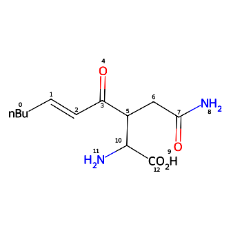 CCCCC=CC(=O)C(CC(N)=O)C(N)C(=O)O